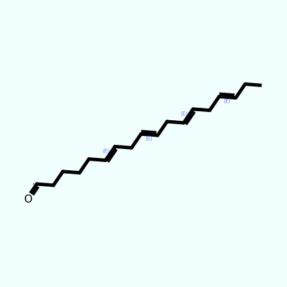 CC/C=C/C/C=C/C/C=C/C/C=C/CCCC[C]=O